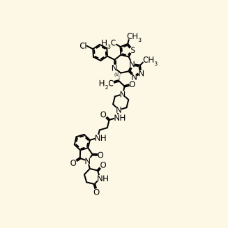 C=C(C(=O)N1CCN(NC(=O)CCNc2cccc3c2C(=O)N(C2CCC(=O)NC2=O)C3=O)CC1)[C@@H]1N=C(c2ccc(Cl)cc2)c2c(sc(C)c2C)-n2c(C)nnc21